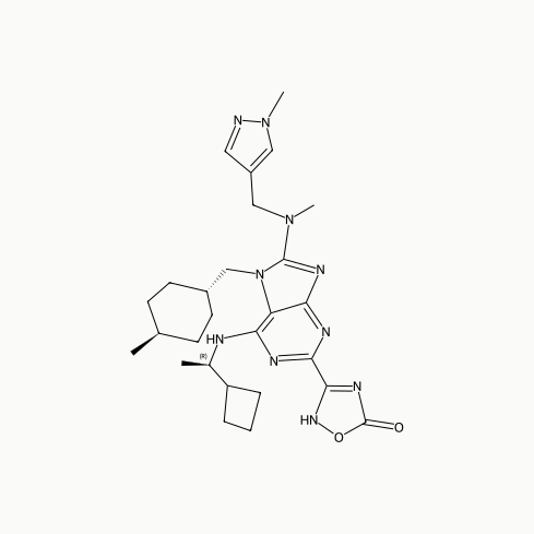 C[C@@H](Nc1nc(-c2nc(=O)o[nH]2)nc2nc(N(C)Cc3cnn(C)c3)n(C[C@H]3CC[C@H](C)CC3)c12)C1CCC1